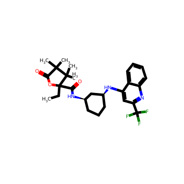 CCC1(C(=O)N[C@@H]2CCC[C@H](Nc3cc(C(F)(F)F)nc4ccccc34)C2)OC(=O)C(C)(C)C1(C)C